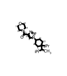 CC(C)C(C)C1(C(C)C)CCC(n2cc(C(=O)N3CCOCC3)nn2)CC1